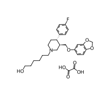 O=C(O)C(=O)O.OCCCCCCN1CC[C@H](c2ccc(F)cc2)[C@@H](COc2ccc3c(c2)OCO3)C1